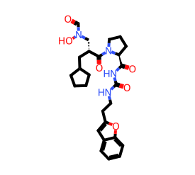 O=CN(O)C[C@@H](CC1CCCC1)C(=O)N1CCC[C@H]1C(=O)NC(=O)NCCc1cc2ccccc2o1